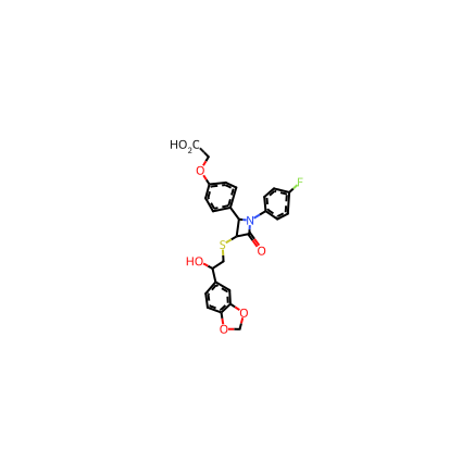 O=C(O)COc1ccc(C2C(SCC(O)c3ccc4c(c3)OCO4)C(=O)N2c2ccc(F)cc2)cc1